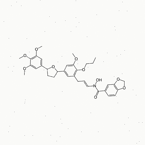 CCCOc1c(C/C=C/N(O)C(=O)c2ccc3c(c2)OCO3)cc(C2CCC(c3cc(OC)c(OC)c(OC)c3)O2)cc1OC